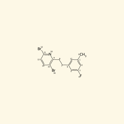 Cc1cc(F)cc(CCc2nc(Br)ccc2Br)c1